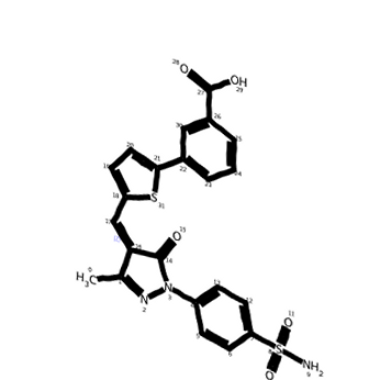 CC1=NN(c2ccc(S(N)(=O)=O)cc2)C(=O)/C1=C\c1ccc(-c2cccc(C(=O)O)c2)s1